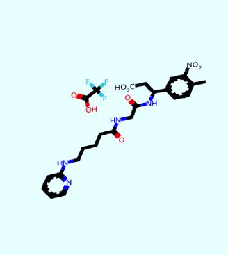 Cc1ccc(C(CC(=O)O)NC(=O)CNC(=O)CCCCNc2ccccn2)cc1[N+](=O)[O-].O=C(O)C(F)(F)F